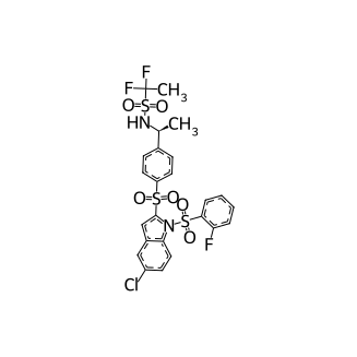 C[C@H](NS(=O)(=O)C(C)(F)F)c1ccc(S(=O)(=O)c2cc3cc(Cl)ccc3n2S(=O)(=O)c2ccccc2F)cc1